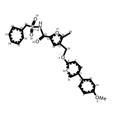 COc1ccc(-c2ccc(OCc3cc(C(=O)NS(=O)(=O)Cc4ccccc4)oc3C)cc2)cc1